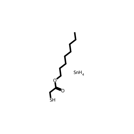 CCCCCCCCOC(=O)CS.[SnH4]